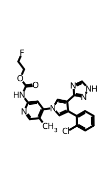 Cc1cnc(NC(=O)OCCF)cc1-n1cc(-c2nc[nH]n2)c(-c2ccccc2Cl)c1